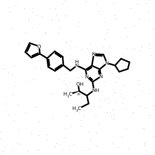 CCC(Nc1nc(NCc2ccc(-c3ccco3)cc2)c2ncn(C3CCCC3)c2n1)[C@@H](C)O